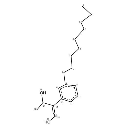 CCCCCCCCCc1cccc(C(=NO)C(C)O)c1